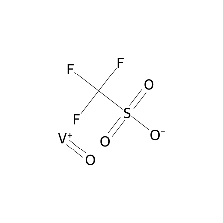 O=S(=O)([O-])C(F)(F)F.[O]=[V+]